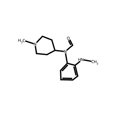 CNc1ccccc1N(C=O)C1CCN(C)CC1